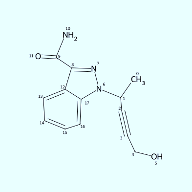 CC(C#CCO)n1nc(C(N)=O)c2ccccc21